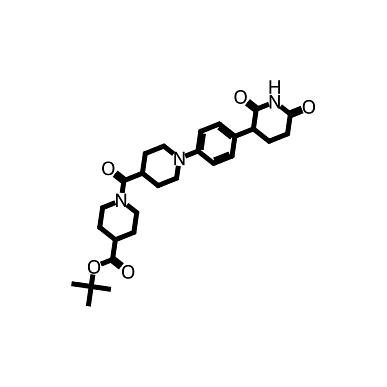 CC(C)(C)OC(=O)C1CCN(C(=O)C2CCN(c3ccc(C4CCC(=O)NC4=O)cc3)CC2)CC1